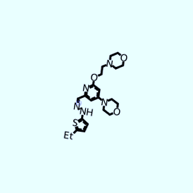 CCc1ccc(N/N=C\c2cc(N3CCOCC3)cc(OCCN3CCOCC3)n2)s1